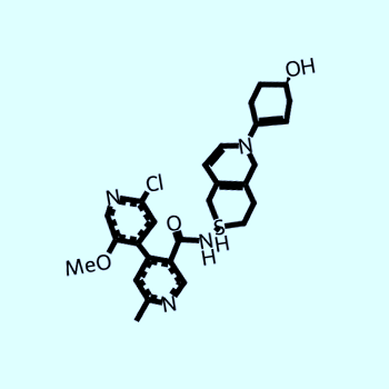 COc1cnc(Cl)cc1-c1cc(C)ncc1C(=O)N[SH]1CCC2=C(C=CN(C3=CC[C@@H](O)CC3)C2)C1